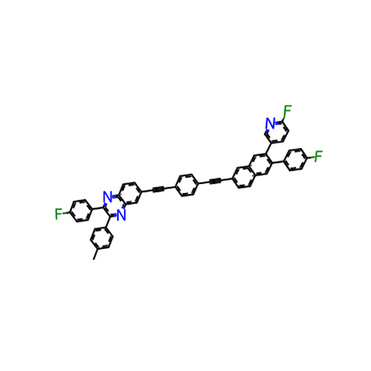 Cc1ccc(-c2nc3cc(C#Cc4ccc(C#Cc5ccc6cc(-c7ccc(F)cc7)c(-c7ccc(F)nc7)cc6c5)cc4)ccc3nc2-c2ccc(F)cc2)cc1